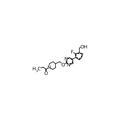 CCC(=O)N1CCC(COc2ncc(-c3cccc(CO)c3F)cn2)CC1